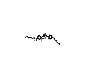 CCCCCCOc1ccc(-c2cnc(-c3ccc(CCCCCC)cc3)s2)c(F)c1